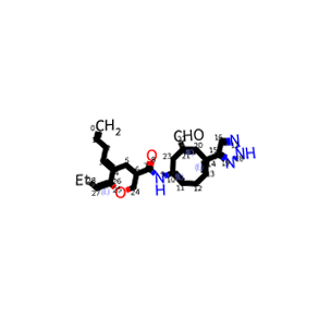 C=CCC=C1CC(C(=O)N/C2=C/C/C=C(c3cn[nH]n3)\C=C(\C=O)C2)CO/C1=C/CC